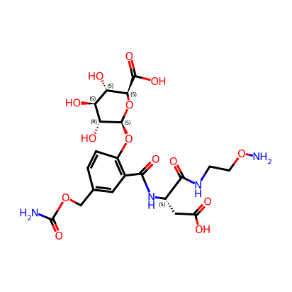 NOCCNC(=O)[C@H](CC(=O)O)NC(=O)c1cc(COC(N)=O)ccc1O[C@@H]1O[C@H](C(=O)O)[C@@H](O)[C@H](O)[C@H]1O